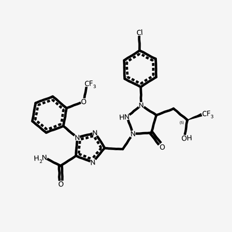 NC(=O)c1nc(CN2NN(c3ccc(Cl)cc3)C(C[C@H](O)C(F)(F)F)C2=O)nn1-c1ccccc1OC(F)(F)F